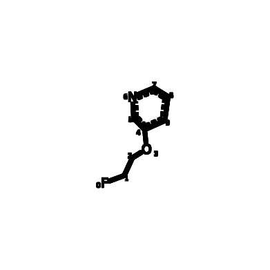 FCCOc1[c]nccc1